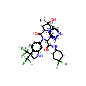 CC1(O)CC(C(=O)N(c2ccc3c(c2)NCC3(C(F)(F)F)C(F)(F)F)C(C(=O)NC2CCC(F)(F)CC2)c2cncc(F)c2)N(C#N)C1